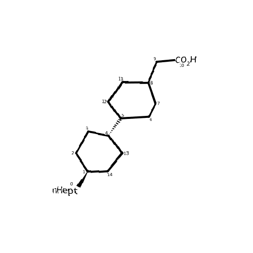 CCCCCCC[C@H]1CC[C@H](C2CCC(CC(=O)O)CC2)CC1